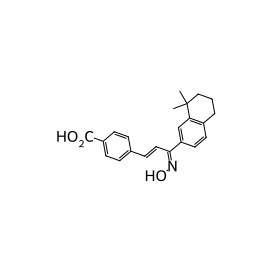 CC1(C)CCCc2ccc(C(/C=C/c3ccc(C(=O)O)cc3)=NO)cc21